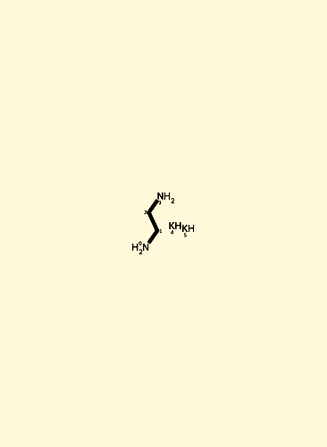 NCCN.[KH].[KH]